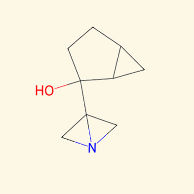 OC1(C23CN2C3)CCC2CC21